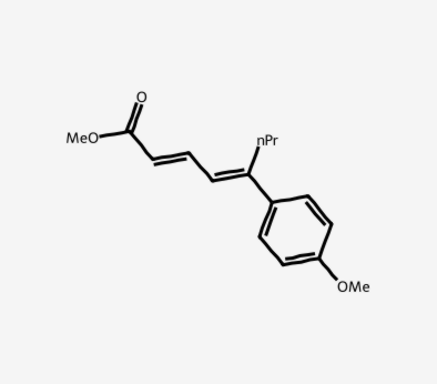 CCCC(=CC=CC(=O)OC)c1ccc(OC)cc1